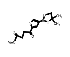 COC(=O)CCC(=O)c1cc(B2OCC(C)(C)O2)cs1